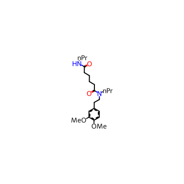 CCCNC(=O)CCCCC(=O)N(CCC)CCc1ccc(OC)c(OC)c1